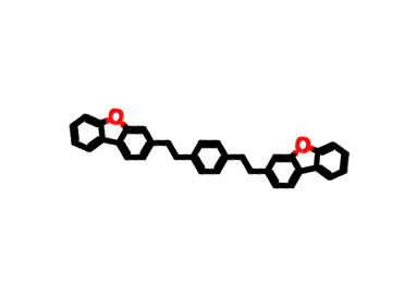 c1ccc2c(c1)oc1cc(CCc3ccc(CCc4ccc5c(c4)oc4ccccc45)cc3)ccc12